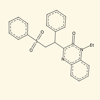 CCn1c(=O)c(C(CS(=O)(=O)c2ccccc2)c2ccccc2)nc2ccccc21